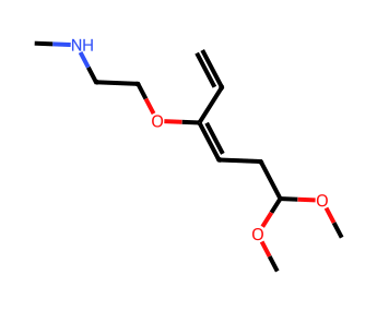 C=C/C(=C\CC(OC)OC)OCCNC